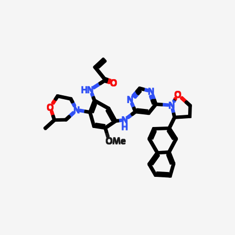 C=CC(=O)Nc1cc(Nc2cc(N3OCCC3c3ccc4ccccc4c3)ncn2)c(OC)cc1N1CCOC(C)C1